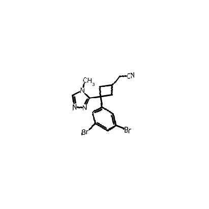 Cn1cnnc1C1(c2cc(Br)cc(Br)c2)CC(CC#N)C1